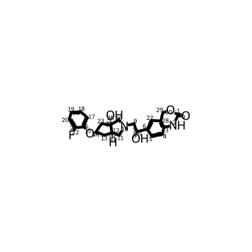 O=C1Nc2ccc([C@H](O)CN3C[C@H]4C[C@H](Oc5ccccc5F)C[C@@]4(O)C3)cc2CO1